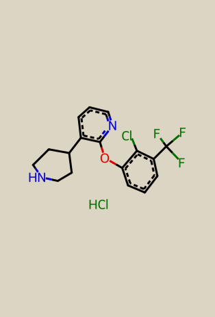 Cl.FC(F)(F)c1cccc(Oc2ncccc2C2CCNCC2)c1Cl